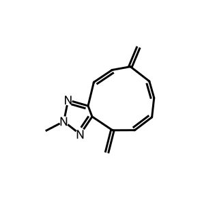 C=c1ccccc(=C)c2nn(C)nc2cc1